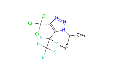 CC(C)n1nnc(C(Cl)(Cl)Cl)c1C(F)(F)C(F)(F)F